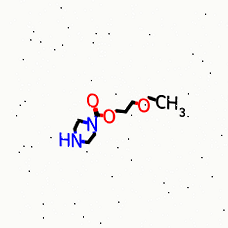 CCOCCCOC(=O)N1CCNCC1